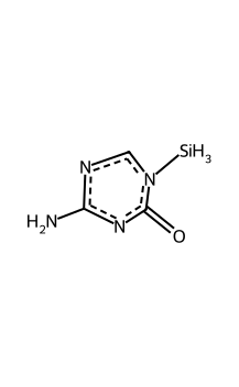 Nc1ncn([SiH3])c(=O)n1